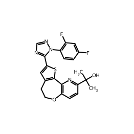 CC(C)(O)c1ccc2c(n1)-c1sc(-c3ncnn3-c3ccc(F)cc3F)cc1CCO2